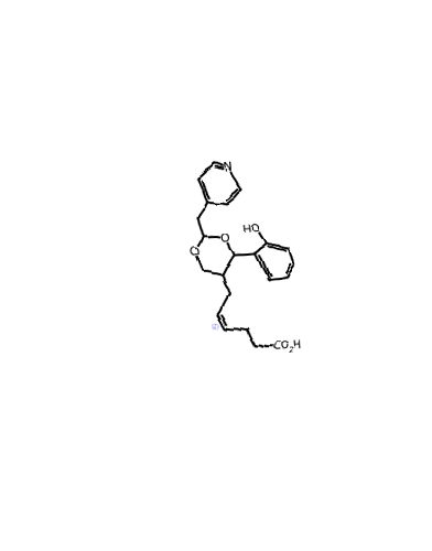 O=C(O)CC/C=C\CC1COC(Cc2ccncc2)OC1c1ccccc1O